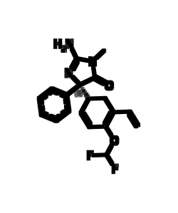 C=CC1=C(OC(F)F)C=CC([C@]2(c3ccccc3)N=C(N)N(C)C2=O)C1